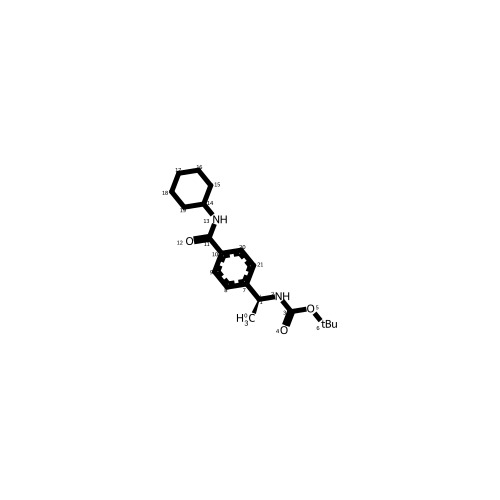 C[C@H](NC(=O)OC(C)(C)C)c1ccc(C(=O)NC2CCCCC2)cc1